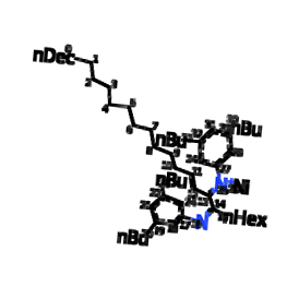 CCCCCCCCCCCCCCCCCCCCC=CC(C(CCCCCC)=Nc1cc(CCCC)cc(CCCC)c1)=[N+]([Ni])c1cc(CCCC)cc(CCCC)c1